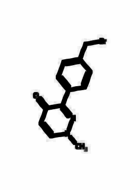 Cn1ccc(=O)c(-c2ccc(CBr)cc2)n1